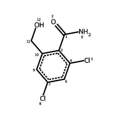 NC(=O)c1c(Cl)cc(Cl)cc1CO